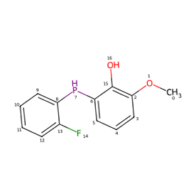 COc1cccc(Pc2ccccc2F)c1O